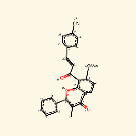 COc1ccc2c(=O)c(C)c(-c3ccccc3)oc2c1C(=O)C=Cc1ccc(C#N)cc1